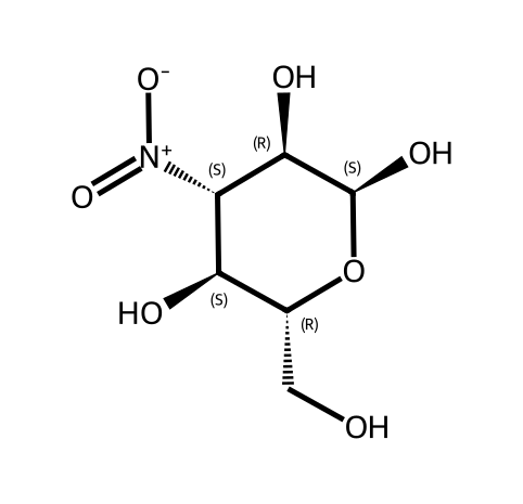 O=[N+]([O-])[C@@H]1[C@@H](O)[C@@H](O)O[C@H](CO)[C@H]1O